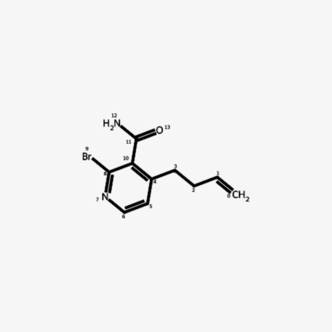 C=CC[CH]c1ccnc(Br)c1C(N)=O